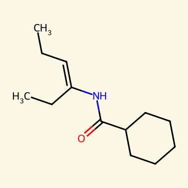 CC/C=C(\CC)NC(=O)C1CCCCC1